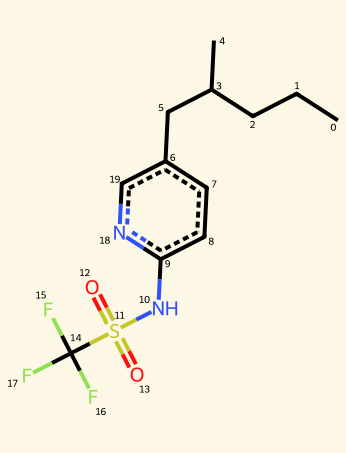 CCCC(C)Cc1ccc(NS(=O)(=O)C(F)(F)F)nc1